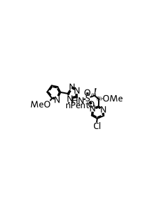 CCCCCn1c(NS(=O)(=O)[C@@H](C)[C@H](OC)c2ncc(Cl)cn2)nnc1-c1cccc(OC)n1